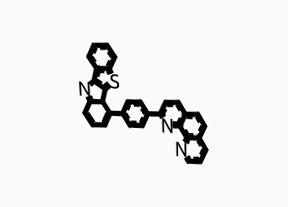 C1=CC2=Nc3c(sc4ccccc34)C2C(c2ccc(-c3ccc4ccc5cccnc5c4n3)cc2)=C1